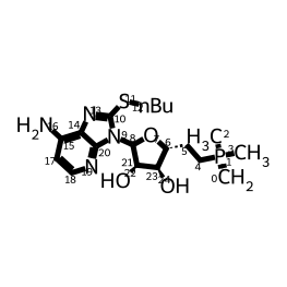 C=P(C)(C)CC[C@H]1OC(n2c(SCCCC)nc3c(N)ccnc32)[C@H](O)[C@@H]1O